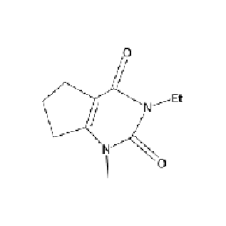 CCn1c(=O)c2c(n(C)c1=O)CCC2